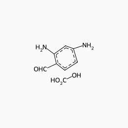 Nc1ccc(C=O)c(N)c1.O=C(O)O